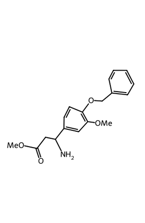 COC(=O)CC(N)c1ccc(OCc2ccccc2)c(OC)c1